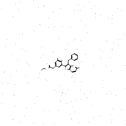 CCOC(=O)Cc1cc(Cl)c(O)c(-c2[nH]c3ccc(N)nc3c2Cc2ccccc2)c1